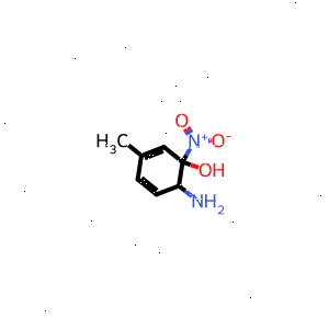 CC1=CC(O)([N+](=O)[O-])C(N)C=C1